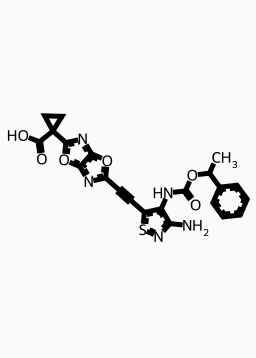 CC(OC(=O)Nc1c(N)nsc1C#Cc1nc2oc(C3(C(=O)O)CC3)nc2o1)c1ccccc1